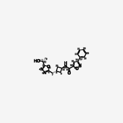 C[C@@H](O)c1nnc(C[C@H]2C[C@H](NC(=O)c3cc(-c4ccccc4)no3)C2)o1